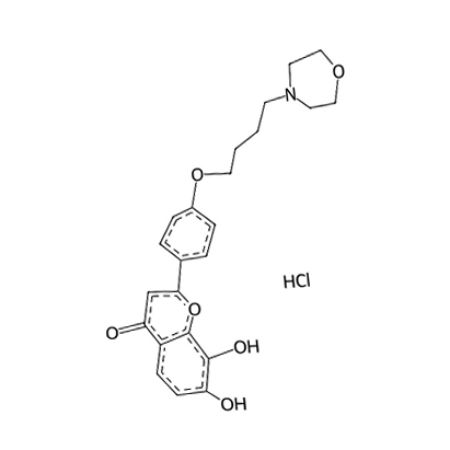 Cl.O=c1cc(-c2ccc(OCCCCN3CCOCC3)cc2)oc2c(O)c(O)ccc12